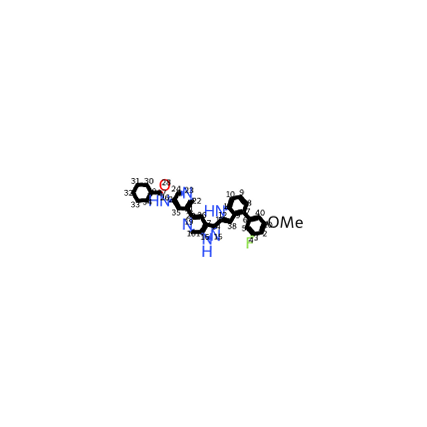 COc1cc(F)cc(-c2cccc3[nH]c(-c4n[nH]c5cnc(-c6cncc(NC(=O)C7CCCCC7)c6)cc45)cc23)c1